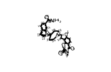 COc1ccc2c(=O)n(C)c(=O)oc2c1CCN1CCC(n2ccc3ccc(C(N)=O)cc32)CC1